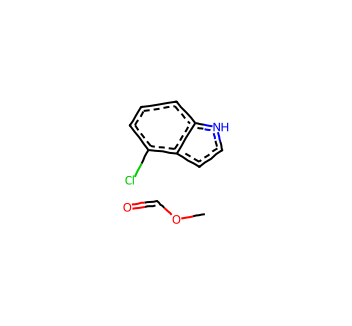 COC=O.Clc1cccc2[nH]ccc12